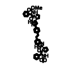 COC(=O)N[C@@H](C(=O)N1CCC[C@H]1c1cc(-c2ccc(CCc3ccc4[nH]c([C@@H]5CCCN5C(=O)[C@H](NC5OCO5)c5ccccc5)nc4c3)cc2)n[nH]1)c1ccccc1